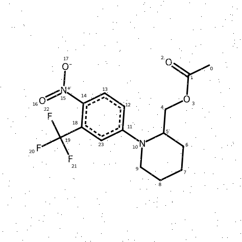 CC(=O)OCC1CCCCN1c1ccc([N+](=O)[O-])c(C(F)(F)F)c1